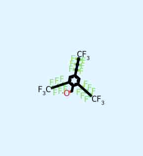 [O]Cc1c(C(F)(F)C(F)(F)C(F)(F)C(F)(F)F)cc(C(F)(F)C(F)(F)C(F)(F)C(F)(F)F)cc1C(F)(F)C(F)(F)C(F)(F)C(F)(F)F